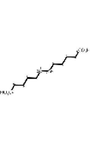 O=C(O)CCCC[Se][Se]CCCCC(=O)O